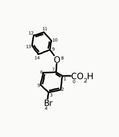 O=C(O)c1cc(Br)ccc1Oc1ccccc1